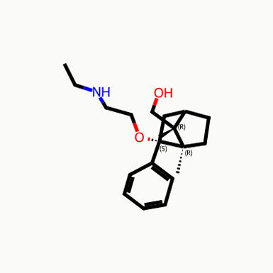 CCNCCO[C@]1(c2ccccc2)CC2CC[C@]1(C)[C@]2(C)CO